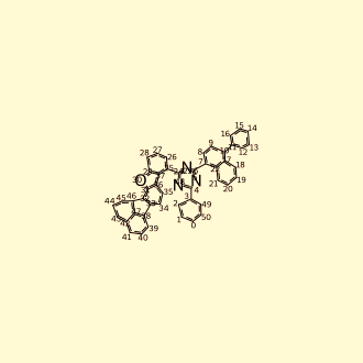 c1ccc(-c2nc(-c3ccc(-c4ccccc4)c4ccccc34)nc(-c3cccc4oc5c6c(ccc5c34)-c3cccc4cccc-6c34)n2)cc1